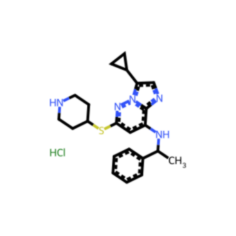 CC(Nc1cc(SC2CCNCC2)nn2c(C3CC3)cnc12)c1ccccc1.Cl